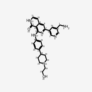 NCc1cncc(-c2cc3cc[nH]c(=O)c3c(Nc3ccc(C4CCN(CCO)CC4)cc3)n2)c1